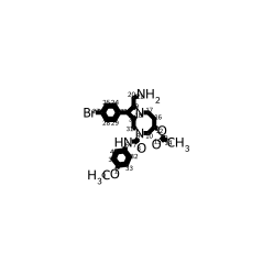 COc1ccc(NC(=O)N2CC(OC(C)=O)CCN3C(CN)C(c4ccc(Br)cc4)C3C2)cc1